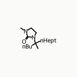 CCCCCCCC(C)(CCCC)N1CCN(C)C1=O